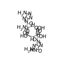 Nc1nc2c(ncn2[C@@H]2O[C@@H]3/C=C\P(=O)(O)O[C@H]4[C@@H](N)[C@H](n5cnc6c(N)ncnc65)O[C@@H]4COP(=O)(O)O[C@H]3[C@H]2O)c(=O)[nH]1